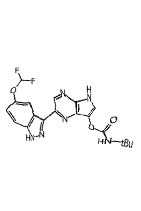 CC(C)(C)NC(=O)Oc1c[nH]c2ncc(-c3n[nH]c4ccc(OC(F)F)cc34)nc12